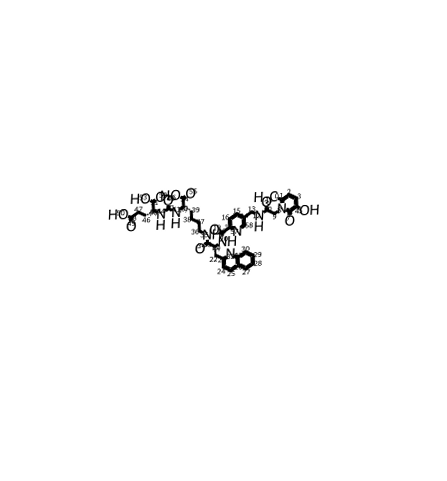 Cc1ccc(O)c(=O)n1CC(=O)NCc1ccc(C(=O)N[C@@H](Cc2ccc3ccccc3n2)C(=O)NCCCC[C@H](NC(=O)N[C@H](CCC(=O)O)C(=O)O)C(=O)O)nc1